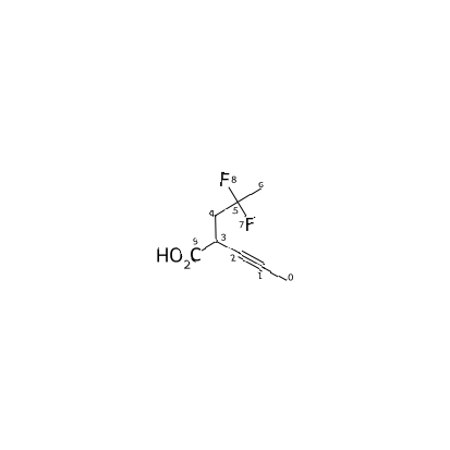 CC#CC(CC(C)(F)F)C(=O)O